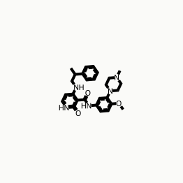 COc1ccc(NC(=O)c2c(NCC(C)c3ccccc3)cc[nH]c2=O)cc1N1CCN(C)CC1